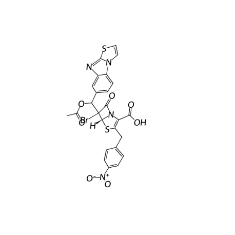 CC(=O)OC(c1ccc2c(c1)nc1sccn12)C1(Br)C(=O)N2C(C(=O)O)=C(Cc3ccc([N+](=O)[O-])cc3)S[C@@H]21